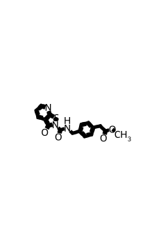 COC(=O)Cc1ccc(CNC(=O)n2sc3ncccc3c2=O)cc1